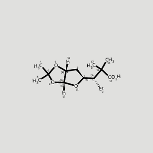 CC[C@H]([C@@H]1C[C@H]2OC(C)(C)O[C@H]2O1)C(C)(C)C(=O)O